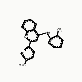 COc1ccc(-c2cc(Nc3ccccc3C(F)(F)F)c3ccccc3n2)cc1